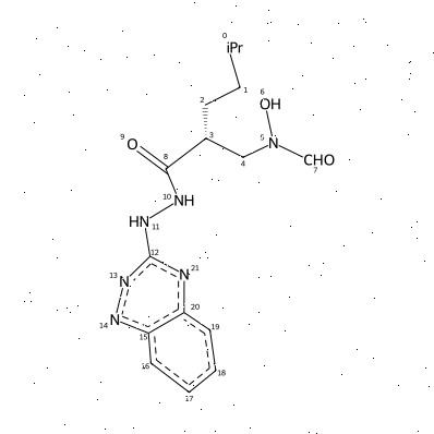 CC(C)CC[C@H](CN(O)C=O)C(=O)NNc1nnc2ccccc2n1